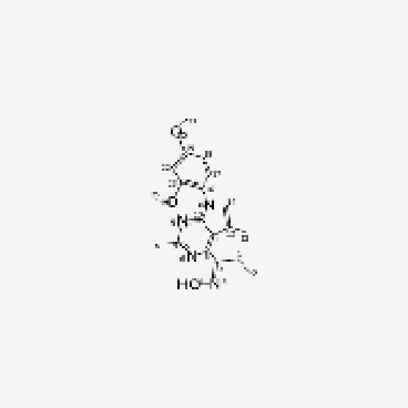 CC/C(=N/O)c1nc(C)nc2c1c(C)cn2-c1ccc(OC)cc1OC